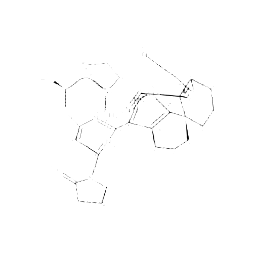 C[C@H](Oc1cc(N2CCCC2=O)nc(-c2noc3c2CCC[C@@]32CCCc3sc(N)c(C#N)c32)n1)[C@@H]1CCCN1C